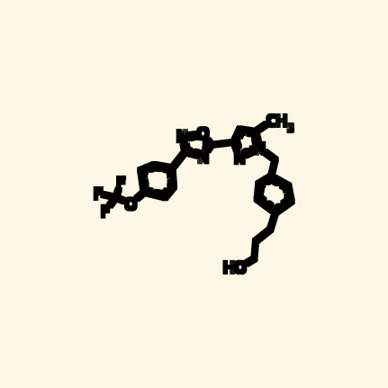 Cc1cc(-c2nc(-c3ccc(OC(F)(F)F)cc3)no2)nn1Cc1ccc(CCCO)cc1